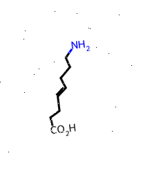 NCCC/C=C/CCC(=O)O